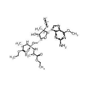 CCOC(=O)[C@H](C)NP(=O)(N[C@H](C)C(=O)OCC)OC[C@H]1O[C@@H](n2cnc3c(OC)nc(N)nc32)[C@](C)(N=[N+]=[N-])[C@@H]1O